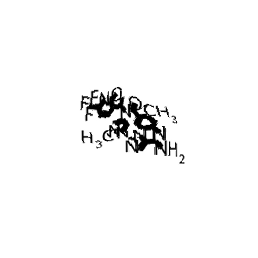 Cc1cc2nc(N)c3cncn3c2cc1C(=O)N(c1cnn(C)c1)C1COc2nc(C(F)(F)F)ccc21